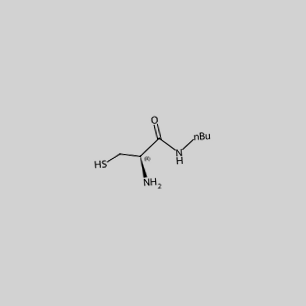 CCCCNC(=O)[C@@H](N)CS